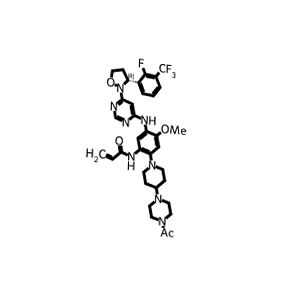 C=CC(=O)Nc1cc(Nc2cc(N3OCC[C@@H]3c3cccc(C(F)(F)F)c3F)ncn2)c(OC)cc1N1CCC(N2CCN(C(C)=O)CC2)CC1